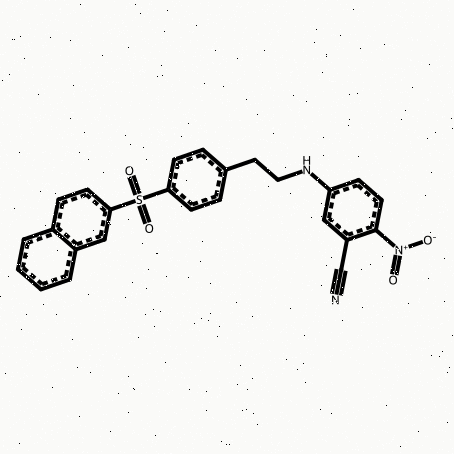 N#Cc1cc(NCCc2ccc(S(=O)(=O)c3ccc4ccccc4c3)cc2)ccc1[N+](=O)[O-]